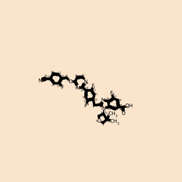 CC1(C)COC[C@H]1n1c(Cc2cc(F)c(-c3nccc(OCc4ccc(C#N)cc4F)n3)cc2F)nc2c(F)cc(C(=O)O)cc21